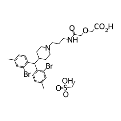 CCS(=O)(=O)O.Cc1ccc(C(c2ccc(C)cc2Br)C2CCN(CCCNC(=O)COCC(=O)O)CC2)c(Br)c1